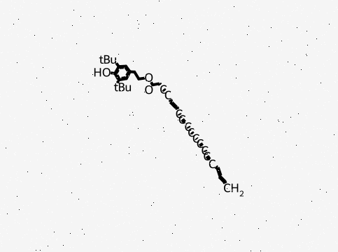 C=C=C=C=C=C=C=C=C=C=C=C=C=C=C=C=C=CC(=O)OCCc1cc(C(C)(C)C)c(O)c(C(C)(C)C)c1